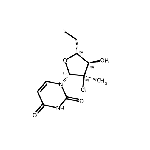 C[C@@]1(Cl)[C@H](O)[C@@H](CI)O[C@H]1n1ccc(=O)[nH]c1=O